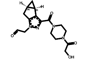 O=CCn1nc(C(=O)N2CCN(C(=O)CO)CC2)c2c1C[C@H]1C[C@@H]21